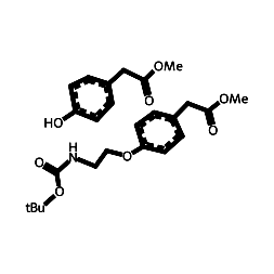 COC(=O)Cc1ccc(O)cc1.COC(=O)Cc1ccc(OCCNC(=O)OC(C)(C)C)cc1